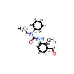 CCN(C(=O)Nc1cccc(C=O)c1C)c1ccccc1